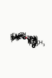 CCN(CCc1ccc(NC(=O)C(C)(C)Sc2nnc(-c3cc(F)nc(F)c3)n2CC)cc1)c1cc(-c2nnc(SC(C)(C)C(=O)Nc3ccccc3)n2CC)ccn1